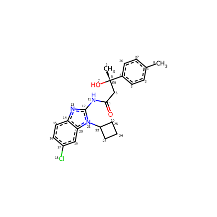 Cc1ccc([C@@](C)(O)CC(=O)Nc2nc3ccc(Cl)cc3n2C2CCC2)cc1